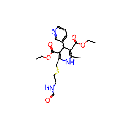 CCOC(=O)C1=C(C)NC(CSCCNC=O)=C(C(=O)OCC)C1c1cccnc1